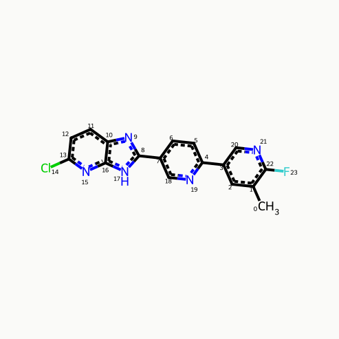 Cc1cc(-c2ccc(-c3nc4ccc(Cl)nc4[nH]3)cn2)cnc1F